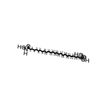 O=C(CCCCCCCCCCCCCCCCCCCCCCCCCP(=O)(O)O)NO